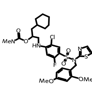 CNC(=O)OC(CNc1cc(F)c(S(=O)(=O)N(Cc2ccc(OC)cc2OC)c2nccs2)cc1Cl)CC1CCCCC1